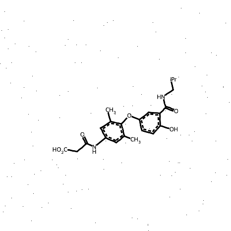 Cc1cc(NC(=O)CC(=O)O)cc(C)c1Oc1ccc(O)c(C(=O)NCC(C)C)c1